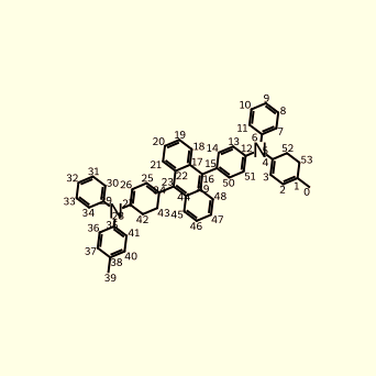 CC1=CC=C(N(c2ccccc2)c2ccc(-c3c4ccccc4c(C4=CC=C(N(c5ccccc5)c5ccc(C)cc5)CC4)c4ccccc34)cc2)CC1